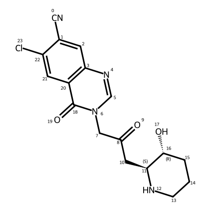 N#Cc1cc2ncn(CC(=O)C[C@@H]3NCCC[C@H]3O)c(=O)c2cc1Cl